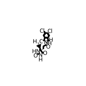 [2H]C1([2H])c2cc(Cl)c(Cl)cc2[C@@H](C)N1C(=O)CC[C@@]1(C2CC2)NC(=O)NC1=O